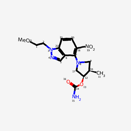 COCCn1ncc2c(N3C[C@@H](C)[C@@H](OC(N)=O)C3)c([N+](=O)[O-])ccc21